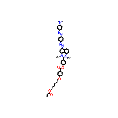 C=CC(=O)OCCCCCCOc1ccc(C(=O)Oc2ccc(C3N(C(C)=O)c4cccc5c(/N=N/c6ccc(/N=N/c7ccc(N(C)C)cc7)cc6)ccc(c45)N3C(C)=O)cc2)cc1